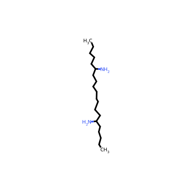 CCCCCC(N)CCCCCCCCC(N)CCCCC